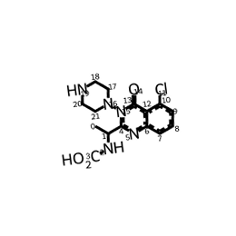 CC(NC(=O)O)c1nc2cccc(Cl)c2c(=O)n1N1CCNCC1